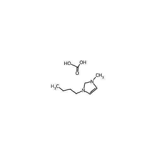 CCCCN1C=CN(C)C1.O=C(O)O